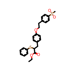 CCOC(=O)C(Cc1ccc(OCCc2ccc(S(C)(=O)=O)cc2)cc1)Sc1ccccc1